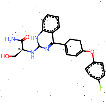 NC(=O)[C@H](CO)NC1N=C(C2=CC=C(Oc3ccc(F)cc3)CC2)c2ccccc2N1